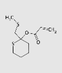 C=CC(=O)OC1(CSC)CCCCS1